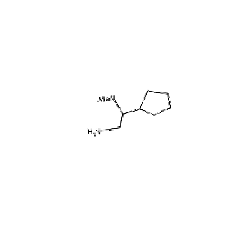 CNC(CN)C1CCCC1